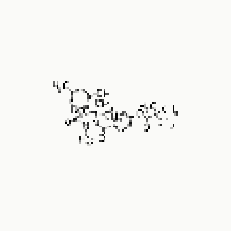 CCN(C(=O)c1cc(C)cc(C)c1)N(C(=O)c1ccc(OC(=O)C(C)(C)C)cc1)C(C)(C)C